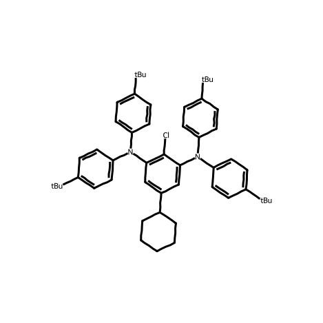 CC(C)(C)c1ccc(N(c2ccc(C(C)(C)C)cc2)c2cc(C3CCCCC3)cc(N(c3ccc(C(C)(C)C)cc3)c3ccc(C(C)(C)C)cc3)c2Cl)cc1